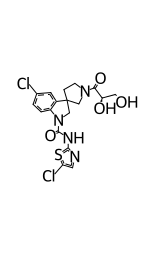 O=C([C@H](O)CO)N1CCC2(C1)CN(C(=O)Nc1ncc(Cl)s1)c1ccc(Cl)cc12